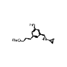 COCCCc1cc(O)cc(CNC2CC2)c1